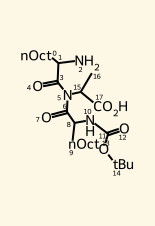 CCCCCCCCC(N)C(=O)N(C(=O)C(CCCCCCCC)NC(=O)OC(C)(C)C)C(C)C(=O)O